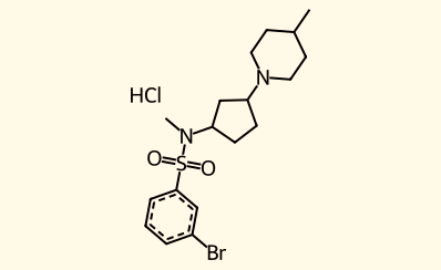 CC1CCN(C2CCC(N(C)S(=O)(=O)c3cccc(Br)c3)C2)CC1.Cl